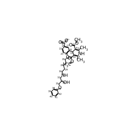 COC(=O)C1=C(C)NC(C)=C(C(=O)OC)C1c1cc([N+](=O)[O-])ccc1OCCCCCNCC(O)COc1ccccc1